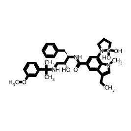 CCc1cn(C)c2c(N3CCCS3(O)O)cc(C(=O)N[C@@H](Cc3ccccc3)[C@H](O)CNC(C)(C)c3cccc(OC)c3)cc12